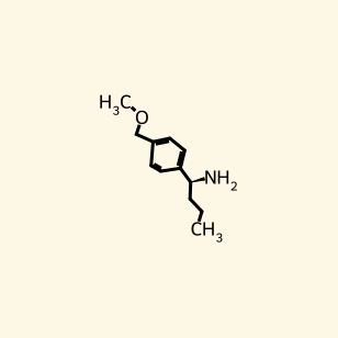 CCC[C@H](N)c1ccc(COC)cc1